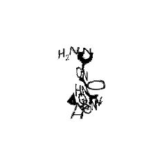 Cn1cc(NC(=O)c2coc(-c3ccnc(N)c3)n2)c(S(=O)(=O)NC2CC2)n1